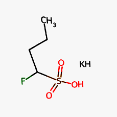 CCCC(F)S(=O)(=O)O.[KH]